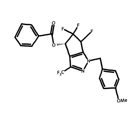 COc1ccc(Cn2nc(C(F)(F)F)c3c2C(F)C(F)(F)[C@H]3OC(=O)c2ccccc2)cc1